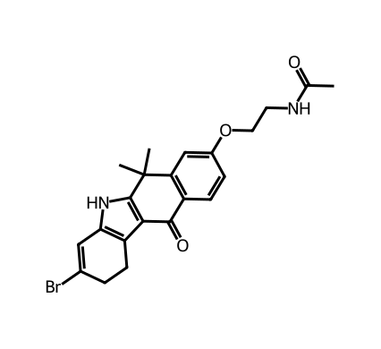 CC(=O)NCCOc1ccc2c(c1)C(C)(C)c1[nH]c3c(c1C2=O)CCC(Br)=C3